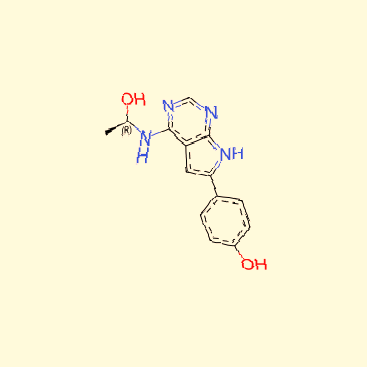 C[C@@H](O)Nc1ncnc2[nH]c(-c3ccc(O)cc3)cc12